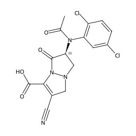 CC(=O)N(c1cc(Cl)ccc1Cl)[C@H]1CN2CC(C#N)=C(C(=O)O)N2C1=O